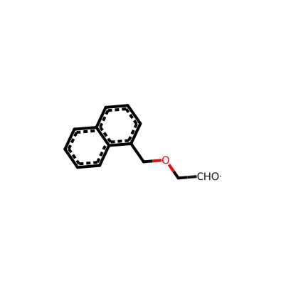 O=[C]COCc1cccc2ccccc12